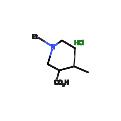 CCN1CCC(C)C(C(=O)O)C1.Cl